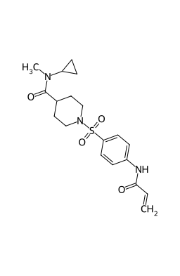 C=CC(=O)Nc1ccc(S(=O)(=O)N2CCC(C(=O)N(C)C3CC3)CC2)cc1